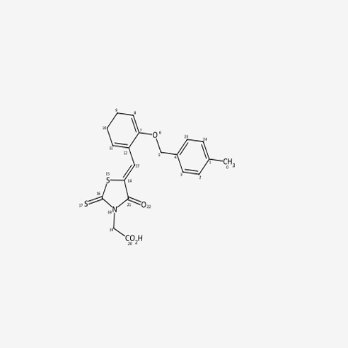 Cc1ccc(COC2=CCCC=C2/C=C2\SC(=S)N(CC(=O)O)C2=O)cc1